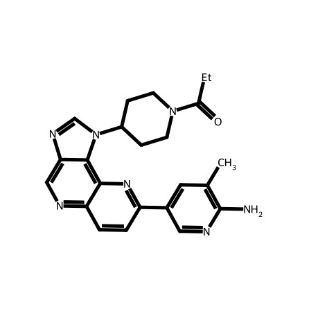 CCC(=O)N1CCC(n2cnc3cnc4ccc(-c5cnc(N)c(C)c5)nc4c32)CC1